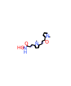 Cn1cccc1C(=O)/C=C/c1ccc(/C=C/C(=O)NO)n1C